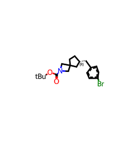 CC(C)(C)OC(=O)N1CC2(CC[C@H](Cc3ccc(Br)cc3)C2)C1